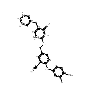 Cc1cc(Oc2ccc(CSc3nc(=O)c(Cc4cncnc4)c[nH]3)cc2C#N)ccc1Cl